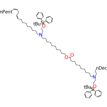 CCCCC/C=C\C/C=C\CCCCCCCCN(CCCCCCCCCCOC(=O)CCCCCCCCCN(CCCCCCCCCCCC)CCO[Si](c1ccccc1)(c1ccccc1)C(C)(C)C)CCO[Si](c1ccccc1)(c1ccccc1)C(C)(C)C